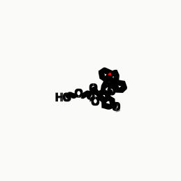 COc1ccc2c(OC)c(C(=O)OCCOCCO)c3c(c2c1)OC(c1ccccc1)(c1ccccc1)C(c1ccccc1)=C3